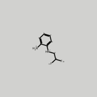 Nc1ccccc1NCC(F)F